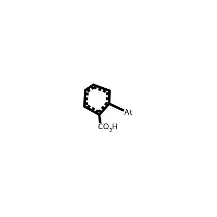 O=C(O)c1ccccc1[At]